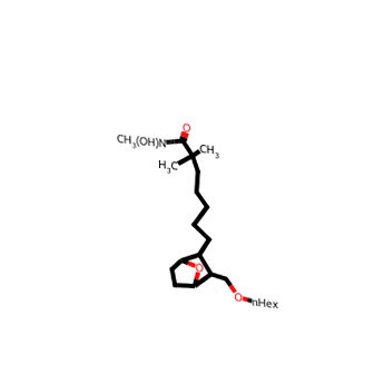 CCCCCCOCC1C2CCC(O2)C1CCCCCC(C)(C)C(=O)N(C)O